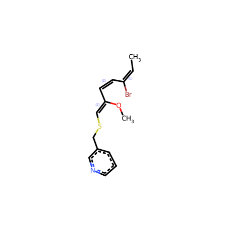 C\C=C(Br)/C=C\C(=C\SCc1cccnc1)OC